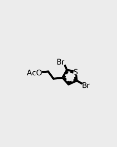 CC(=O)OCCc1cc(Br)sc1Br